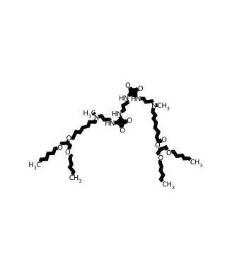 CCCCCCOCC(COCCCCCC)OCCCCCCCN(C)CCCNc1c(NCCCNc2c(NCCCN(C)CCCCCCCC(=O)OC(COCCCCCC)COCCCCCC)c(=O)c2=O)c(=O)c1=O